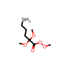 COOC(=O)C(CCC[SiH3])(OC)OC